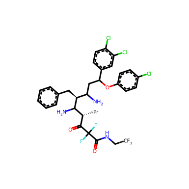 CC(C)[C@H](C(=O)C(F)(F)C(=O)NCC(F)(F)F)C(N)[C@@H](Cc1ccccc1)C(N)CC(Oc1ccc(Cl)cc1)c1ccc(Cl)c(Cl)c1